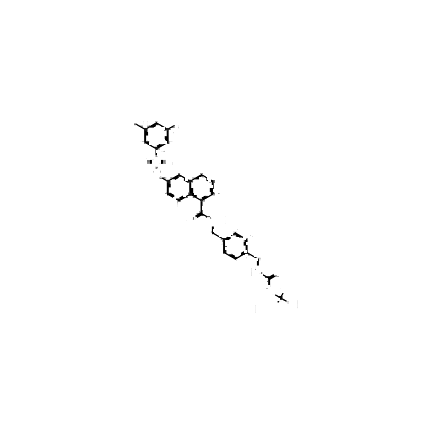 CC(C)(C)OC(=O)NCc1ccc(CNC(=O)c2cccc3cc(NS(=O)(=O)c4cc(Cl)cc(I)c4)ccc23)cc1